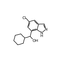 OC(c1cc(Cl)cc2cn[nH]c12)C1CCCCC1